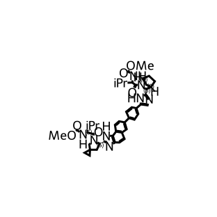 COC(=O)NC(C(=O)N1[C@@H]2CC[C@@H](C2)[C@H]1c1ncc(-c2ccc(-c3ccc4c(ccc5nc([C@@H]6CC7(CC7)CN6C(=O)[C@@H](NC(=O)OC)C(C)C)[nH]c54)c3)cc2)[nH]1)C(C)C